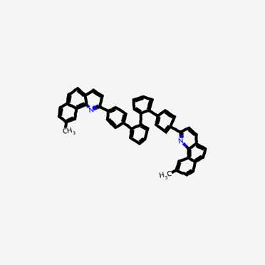 Cc1ccc2ccc3ccc(-c4ccc(-c5ccccc5-c5ccccc5-c5ccc(-c6ccc7ccc8ccc(C)cc8c7n6)cc5)cc4)nc3c2c1